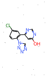 Oc1cc(-c2cc(Cl)ccc2-n2cnnn2)ncn1